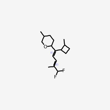 C/C(=C\C=C(\C1CCC(C)CO1)C1CCC1C)C(F)F